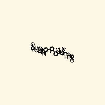 Cc1c(-c2ccn3c(=O)c(CNC[C@@H]4CCC(=O)N4)cnc3c2)cccc1-c1cccc(-c2ccc(CNC[C@@H]3CCC(=O)N3)c(N(C)C)n2)c1Cl